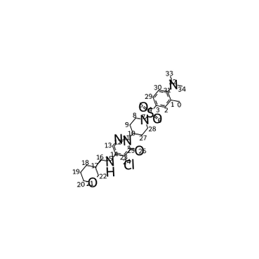 Cc1cc(S(=O)(=O)N2CCC(n3ncc(NC[C@@H]4CCCOC4)c(Cl)c3=O)CC2)ccc1N(C)C